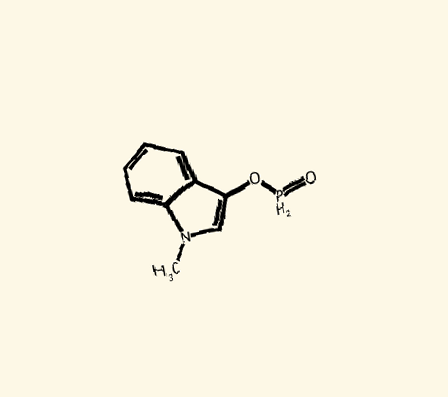 Cn1cc(O[PH2]=O)c2ccccc21